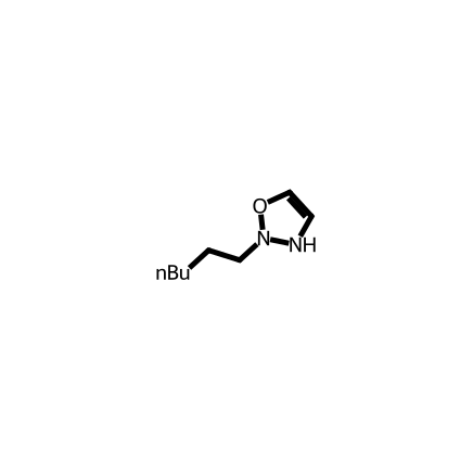 [CH2]CCCCCN1NC=CO1